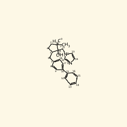 CC1(C)CCC(Cc2ccc(-c3ccccc3)cc2)C1(O)Cn1ccnc1